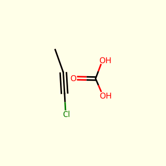 CC#CCl.O=C(O)O